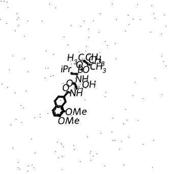 COc1ccc2c(c1OC)CC(C(=O)N[C@@H](CO)C(=O)NC(CC(C)C)B1OC(C)(C)C(C)(C)O1)CC2